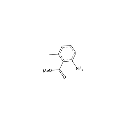 COC(=O)c1c(C)cccc1N